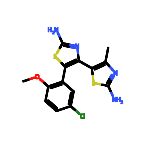 COc1ccc(Cl)cc1-c1sc(N)nc1-c1sc(N)nc1C